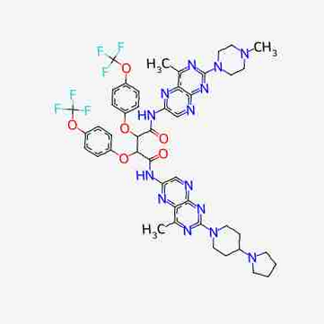 Cc1nc(N2CCC(N3CCCC3)CC2)nc2ncc(NC(=O)C(Oc3ccc(OC(F)(F)F)cc3)C(Oc3ccc(OC(F)(F)F)cc3)C(=O)Nc3cnc4nc(N5CCN(C)CC5)nc(C)c4n3)nc12